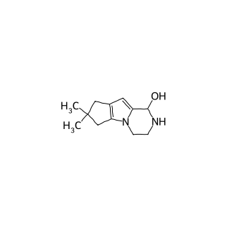 CC1(C)Cc2cc3n(c2C1)CCNC3O